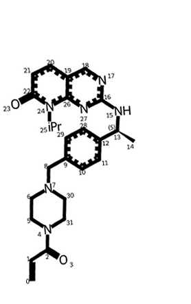 C=CC(=O)N1CCN(Cc2ccc([C@H](C)Nc3ncc4ccc(=O)n(C(C)C)c4n3)cc2)CC1